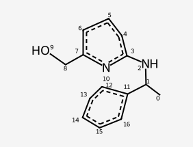 CC(Nc1cccc(CO)n1)c1ccccc1